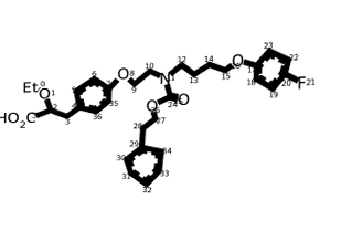 CCOC(Cc1ccc(OCCN(CCCCOc2ccc(F)cc2)C(=O)OCCc2ccccc2)cc1)C(=O)O